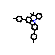 Cc1ccc(-c2ccc3c(c2)c2cc(-c4ccc(C)cc4)cc4c2n3-c2ccccc2C4(C)C)cc1